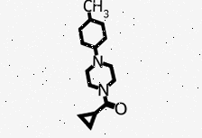 CC1CCC(N2CCN(C(=O)C3CC3)CC2)CC1